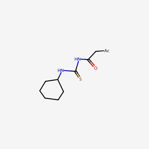 CC(=O)CC(=O)NC(=S)NC1CCCCC1